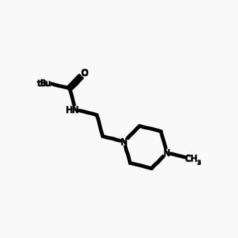 CN1CCN(CCNC(=O)C(C)(C)C)CC1